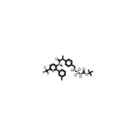 Cc1cccc(-c2nc(C(F)(F)F)ccc2N(C)C(=O)C(C)c2ccc(CNS(=O)(=O)NC(=O)OC(C)(C)C)cc2)c1